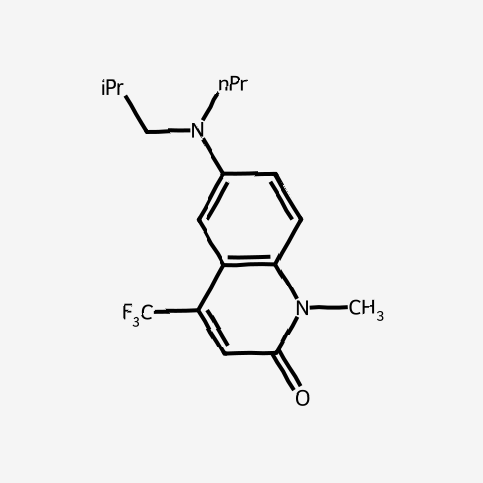 CCCN(CC(C)C)c1ccc2c(c1)c(C(F)(F)F)cc(=O)n2C